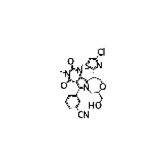 Cn1c(=O)c2c(-c3cccc(C#N)c3)n3c(c2n(C)c1=O)[C@H](c1nc(Cl)cs1)CO[C@@H](CO)C3